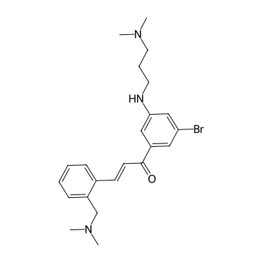 CN(C)CCCNc1cc(Br)cc(C(=O)/C=C/c2ccccc2CN(C)C)c1